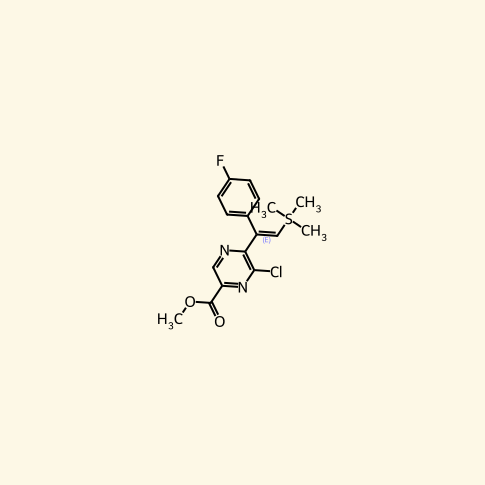 COC(=O)c1cnc(/C(=C/S(C)(C)C)c2ccc(F)cc2)c(Cl)n1